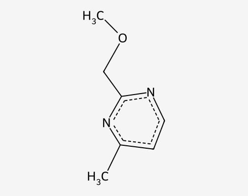 COCc1nccc(C)n1